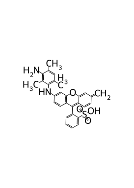 C=c1ccc2c(c1)Oc1cc(Nc3c(C)cc(C)c(N)c3C)ccc1C=2c1ccccc1S(=O)(=O)O